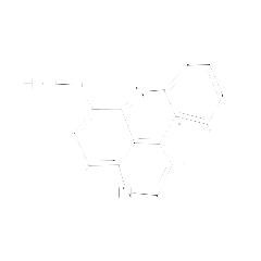 COc1ccc2c3c(c4ccccc4nc13)C=CN2